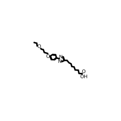 CCCOCCCCOc1ccc(-c2ncc(CCCCCCCCC(=O)O)cn2)cc1